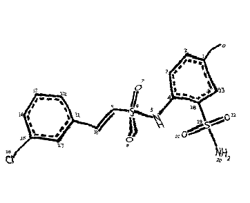 Cc1ccc(NS(=O)(=O)/C=C/c2cccc(Cl)c2)c(S(N)(=O)=O)c1